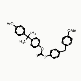 COc1ccc(Cc2ccc(OC(=O)Oc3ccc(C(C)(C)c4ccc(OC(C)=O)cc4)cc3)cc2)cc1